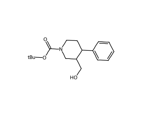 CC(C)(C)OC(=O)N1CCC(c2ccccc2)C(CO)C1